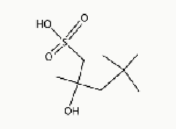 CC(C)(C)CC(C)(O)CS(=O)(=O)O